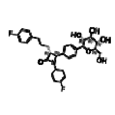 O=C1[C@H](CCCc2ccc(F)cc2)[C@@H](c2ccc(C3O[C@H](CO)[C@@H](O)[C@H](O)[C@H]3O)cc2)N1c1ccc(F)cc1